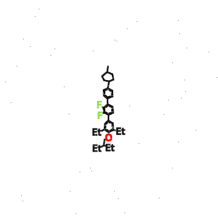 CCc1cc(-c2ccc(-c3ccc(C4CCC(C)CC4)cc3)c(F)c2F)cc(CC)c1OCC(CC)CC